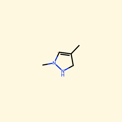 CC1=[C]N(C)NC1